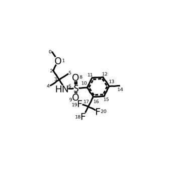 COCC(C)(C)NS(=O)(=O)c1ccc(C)cc1C(F)(F)F